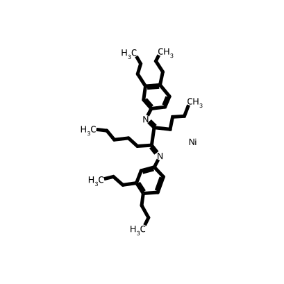 CCCCCC(=Nc1ccc(CCC)c(CCC)c1)C(CCCC)=Nc1ccc(CCC)c(CCC)c1.[Ni]